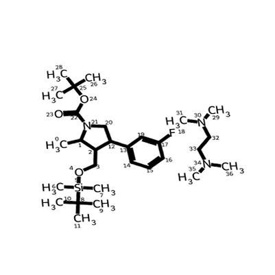 CC1C(CO[Si](C)(C)C(C)(C)C)C(c2cccc(F)c2)CN1C(=O)OC(C)(C)C.CN(C)CCN(C)C